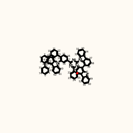 c1ccc(-c2cccc(-c3cccc(-c4ccc(-c5nc(-c6ccccc6)nc(-n6c7ccccc7c7cccc(-c8cccc9c8sc8ccccc89)c76)n5)cc4-n4c5ccccc5c5ccccc54)c3)c2)cc1